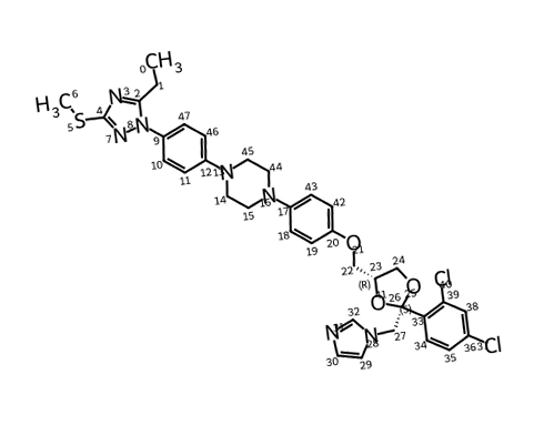 CCc1nc(SC)nn1-c1ccc(N2CCN(c3ccc(OC[C@@H]4CO[C@@](Cn5ccnc5)(c5ccc(Cl)cc5Cl)O4)cc3)CC2)cc1